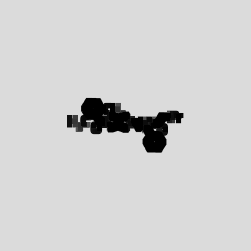 Cc1cccc(C)c1C(=O)N1CC2CN(CC[C@H](NC(=O)CC(C)C)c3ccccc3)CC2C1